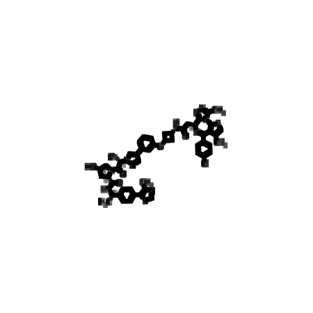 Cc1csc2c1C(c1ccc(Cl)cc1)=N[C@@H](CC(=O)N[C@H]1C[C@H](Oc3cccc(-c4cnn([C@H](C(=O)N5C[C@H](O)C[C@H]5C(=O)N[C@@H](C)c5ccc(-c6scnc6C)cc5)C(C)C)c4)c3)C1)c1nnc(C)n1-2